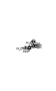 CCNC(=O)Nc1ccc(-c2nc3c(c(N4CCOCC4C)n2)C(C)S(O)(O)C3)cc1F